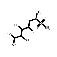 CN(CC(O)C(O)C(O)C(O)O)S(N)(=O)=O